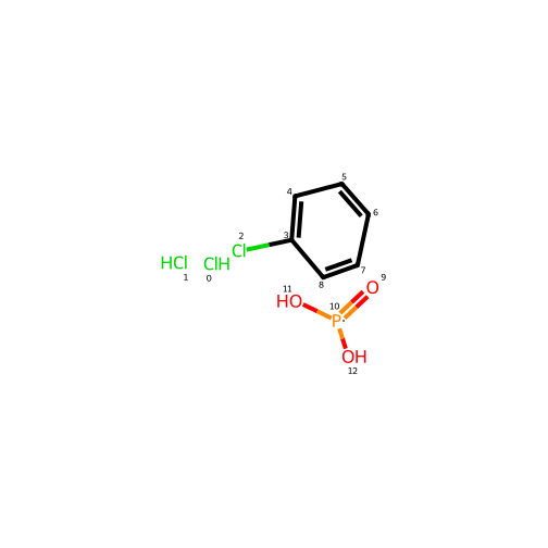 Cl.Cl.Clc1ccccc1.O=[P](O)O